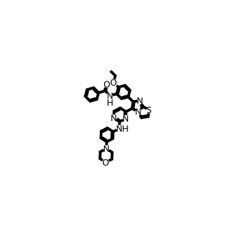 CCOc1ccc(-c2nc3sccn3c2-c2ccnc(Nc3cccc(N4CCOCC4)c3)n2)cc1NC(=O)c1ccccc1